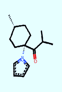 CC(C)C(=O)[C@]1(n2cccc2)CC[C@@H](C)CC1